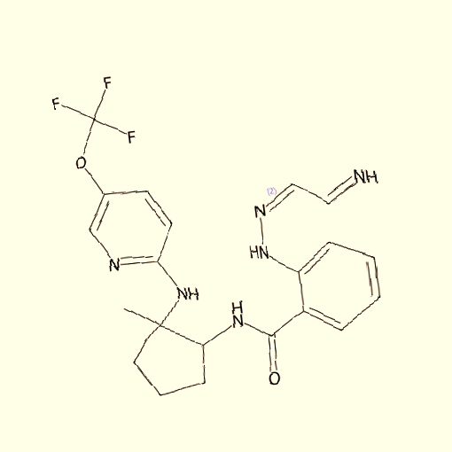 CC1(Nc2ccc(OC(F)(F)F)cn2)CCCC1NC(=O)c1ccccc1N/N=C\C=N